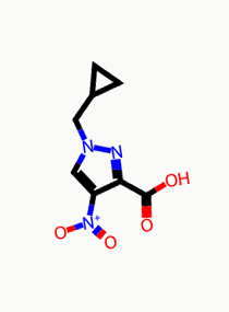 O=C(O)c1nn(CC2CC2)cc1[N+](=O)[O-]